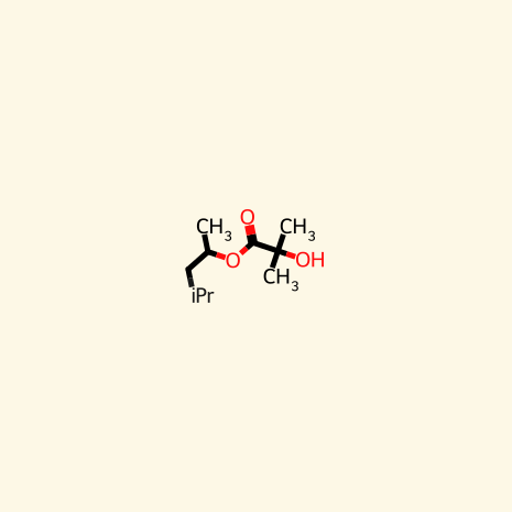 CC(C)CC(C)OC(=O)C(C)(C)O